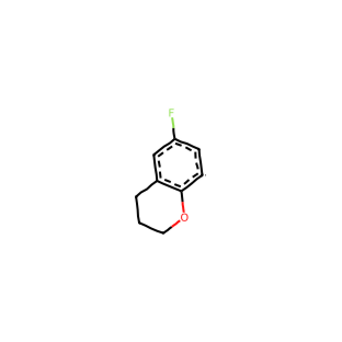 Fc1c[c]c2c(c1)CCCO2